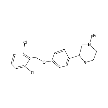 CCCN1CCSC(c2ccc(OCc3c(Cl)cccc3Cl)cc2)C1